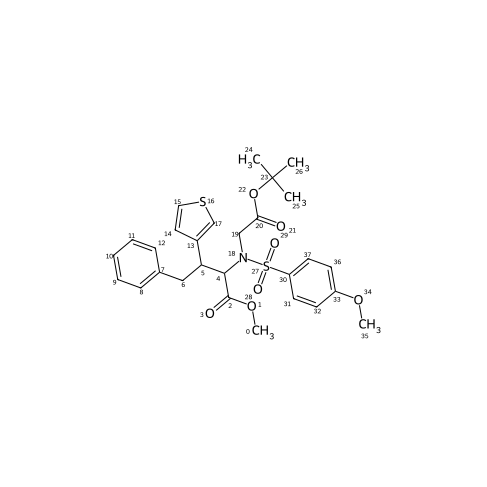 COC(=O)C(C(Cc1ccccc1)c1ccsc1)N(CC(=O)OC(C)(C)C)S(=O)(=O)c1ccc(OC)cc1